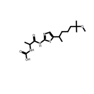 COC(C)(C)CCCC(C)c1cnc(NC(=O)C(C)NC(=O)O)s1